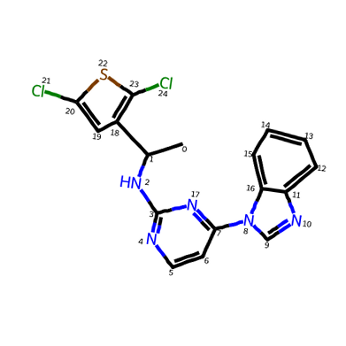 CC(Nc1nccc(-n2cnc3ccccc32)n1)c1cc(Cl)sc1Cl